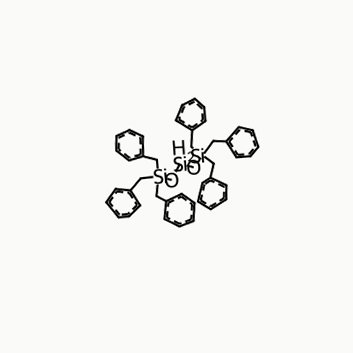 c1ccc(C[Si](Cc2ccccc2)(Cc2ccccc2)O[SiH2]O[Si](Cc2ccccc2)(Cc2ccccc2)Cc2ccccc2)cc1